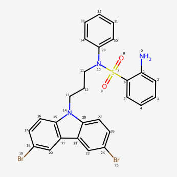 Nc1ccccc1S(=O)(=O)N(CCCn1c2ccc(Br)cc2c2cc(Br)ccc21)c1ccccc1